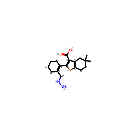 CC1(C)CCc2sc(C3=C(CNN)CCCC3)c(C(=O)O)c2C1